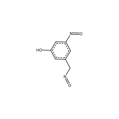 O=NCc1cc(O)cc(N=O)c1